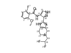 COc1cccc(F)c1C(=O)Nc1c[nH]nc1-c1nc2c([nH]1)CCN(CC(F)F)C2